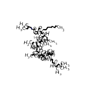 CCCCCCCC[C@@H](C(=O)N[C@@H](CC(C)C)C(=O)NC(C)(C)C(=O)N[C@@H](CC(C)C)C(=O)N[C@@H](CC(C)C)C(=O)NC(C)(C)C(=O)NC(C)(C)C(=O)NCCC(=O)N[C@@H](C)CN(C)C)N(C=O)[C@@H]1CCCN1C(=O)/C=C/[C@@H](C)CC